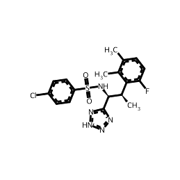 Cc1ccc(F)c([C@@H](C)[C@H](NS(=O)(=O)c2ccc(Cl)cc2)c2nn[nH]n2)c1C